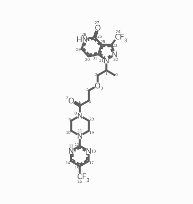 CC(COCCC(=O)N1CCN(c2ncc(C(F)(F)F)cn2)CC1)n1nc(C(F)(F)F)c2c(=O)[nH]ccc21